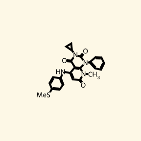 CSc1ccc(Nc2cc(=O)n(C)c3c2c(=O)n(C2CC2)c(=O)n3-c2ccccc2)cc1